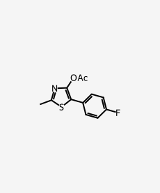 CC(=O)Oc1nc(C)sc1-c1ccc(F)cc1